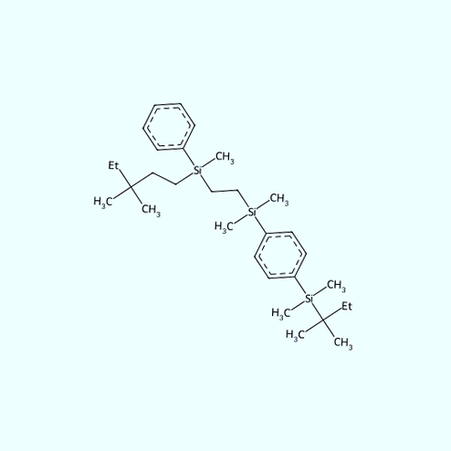 CCC(C)(C)CC[Si](C)(CC[Si](C)(C)c1ccc([Si](C)(C)C(C)(C)CC)cc1)c1ccccc1